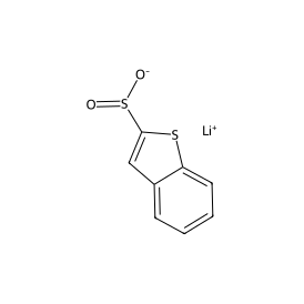 O=S([O-])c1cc2ccccc2s1.[Li+]